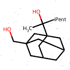 CCCC(C)C(C)(O)C12CC3CC(CC(CO)(C3)C1)C2